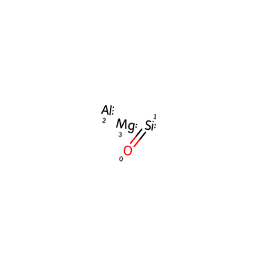 O=[Si].[Al].[Mg]